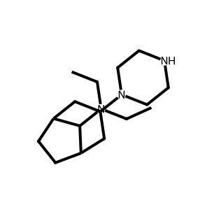 CCN(CC)C1C2CCC1CC(N1CCNCC1)C2